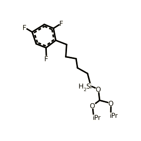 CC(C)OC(O[SiH2]CCCCCc1c(F)cc(F)cc1F)OC(C)C